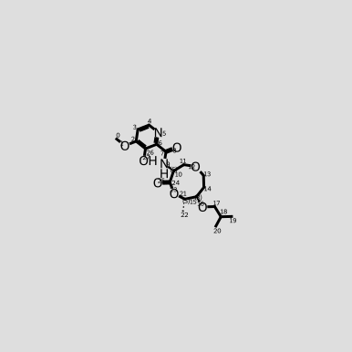 COc1ccnc(C(=O)N[C@H]2COCC[C@@H](OCC(C)C)[C@H](C)OC2=O)c1O